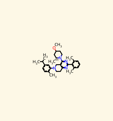 COC1CCN(c2nc(-c3c(C)cccc3C)nc3c2CN(c2cc(C(C)C)ccc2C)CC3)[C@H](C)C1